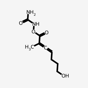 CC(=C=CCCCO)C(=O)ONC(N)=O